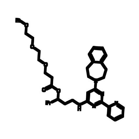 CCOCCOCCOCCC(=O)OC(CCNc1cc(N2CCc3ccccc3CC2)nc(-c2ccccn2)n1)C(C)C